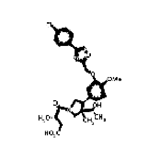 COc1ccc([C@@H]2CN(C(=O)[C@@H](C)CC(=O)O)C[C@@]2(C)[C@@H](C)O)cc1OCc1nc(-c2ccc(Cl)cc2)no1